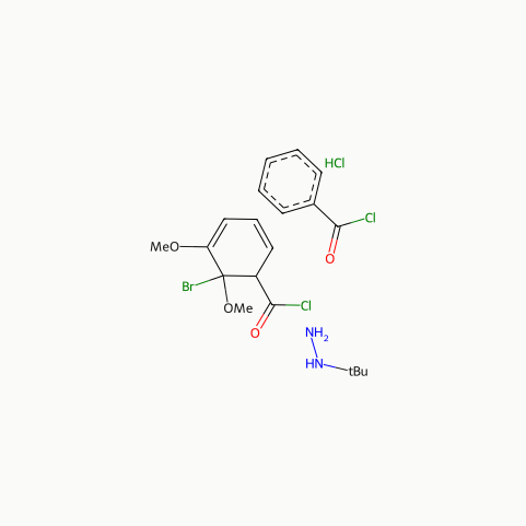 CC(C)(C)NN.COC1=CC=CC(C(=O)Cl)C1(Br)OC.Cl.O=C(Cl)c1ccccc1